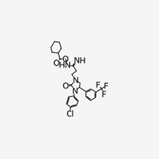 N=C(CCN1CC(c2cccc(C(F)(F)F)c2)N(c2ccc(Cl)cc2)C1=O)NOC(=O)C1CCCCC1